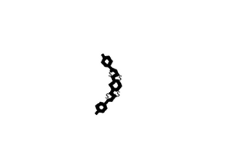 Cc1ccc(-c2cc3sc4cc5sc6cc(-c7ccc(C)cc7)sc6c5cc4c3s2)cc1